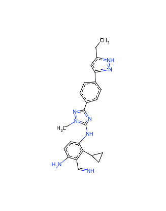 CCc1cc(-c2ccc(-c3nc(Nc4ccc(N)c(C=N)c4C4CC4)n(C)n3)cc2)n[nH]1